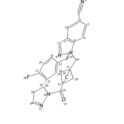 N#Cc1ccc2c(cnn2CC23CC(C(=O)N4N=CC[C@@H]4c4cc(F)ccc4F)(C2)C3)c1